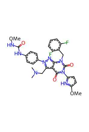 CONC(=O)Nc1ccc(-n2nc3c(c2CN(C)C)c(=O)n(-c2ccc(OC)[nH]2)c(=O)n3Cc2c(F)cccc2F)cc1